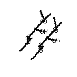 CCCCCCCCCCOC(CCC)O[Si](C)(C)OCCCCCCN(CCCCO)CCCCCCOC(=O)C(CCCCCC)CCCCCCCC.CCCCCCCCCCOC(CCC)O[Si](C)(C)OCCCCCCN(CCCCO)CCCCCCOC(=O)C(CCCCCC)CCCCCCCC